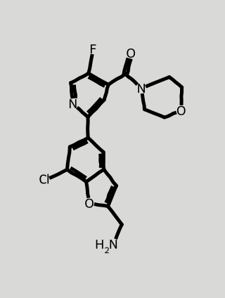 NCc1cc2cc(-c3cc(C(=O)N4CCOCC4)c(F)cn3)cc(Cl)c2o1